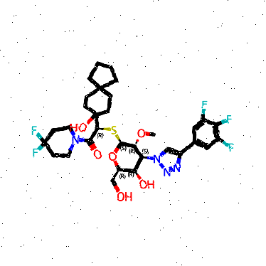 CO[C@@H]1[C@@H](n2cc(-c3cc(F)c(F)c(F)c3)nn2)[C@@H](O)[C@@H](CO)O[C@H]1S[C@@H](C(=O)N1CCC(F)(F)CC1)C1(O)CCC2(CCCC2)CC1